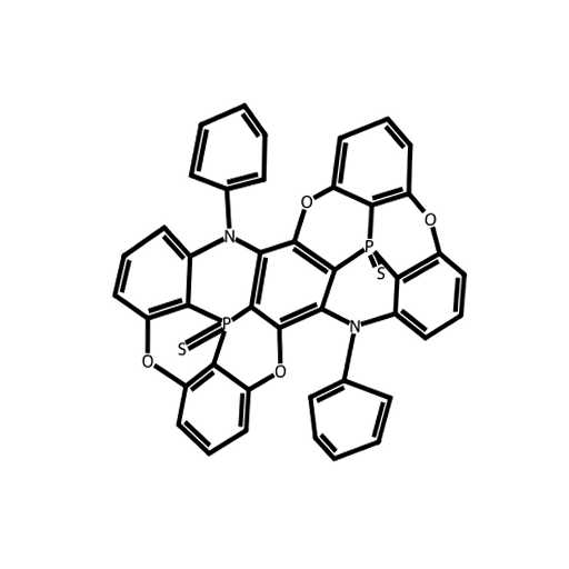 S=P12c3c4cccc3Oc3c5c6c(c(c31)N(c1ccccc1)c1cccc(c12)O4)Oc1cccc2c1P6(=S)c1c(cccc1N5c1ccccc1)O2